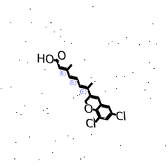 CC(/C=C/C=C(\C)C1=Cc2cc(Cl)cc(Cl)c2OC1)=C\C(=O)O